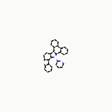 c1ccc(-n2c3c(ccc4sc5ccccc5c43)c3c4ccccc4c4ccccc4c32)nc1